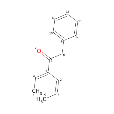 C/C=C\C(=C/C)C(=O)Cc1ccccc1